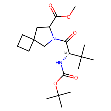 COC(=O)C1CC2(CCC2)CN1C(=O)[C@@H](NC(=O)OC(C)(C)C)C(C)(C)C